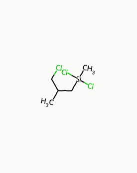 CC(CCl)C[Si](C)(Cl)Cl